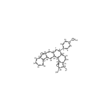 COc1ccc(-c2cc3cc4oc5ccccc5c4cc3c3c2ccc2c(C)c(C)oc23)cc1